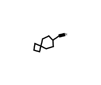 N#CC1CCC2(CCC2)CC1